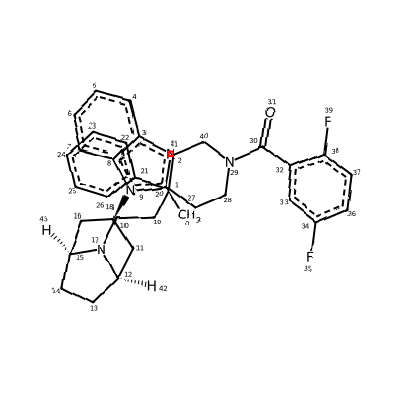 Cc1nc2ccccc2n1[C@H]1C[C@H]2CC[C@@H](C1)N2CCC1(c2ccccc2)CCN(C(=O)c2cc(F)ccc2F)CC1